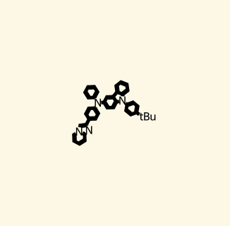 CC(C)(C)c1ccc(-n2c3ccccc3c3cc(N(c4ccccc4)c4ccc(-c5cn6ccccc6n5)cc4)ccc32)cc1